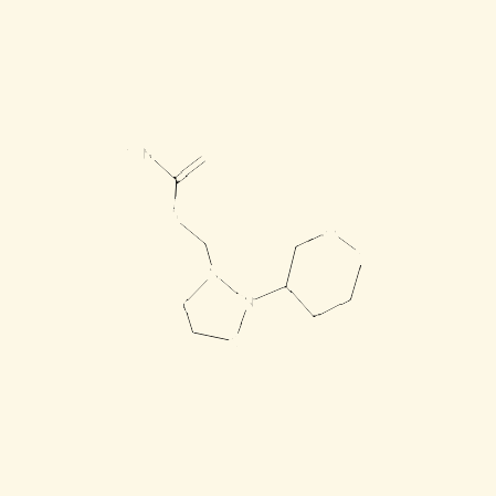 NC(=O)OCN1CCSN1C1CCOOC1